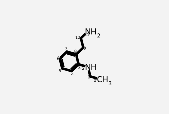 CCNc1ccccc1CCN